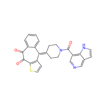 O=C1C(=O)c2sccc2C(=C2CCN(C(=O)c3cncc4cc[nH]c34)CC2)c2ccccc21